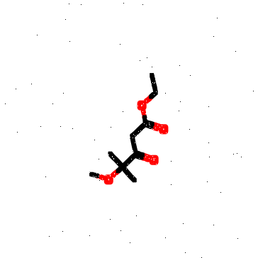 CCOC(=O)CC(=O)C(C)(C)OC